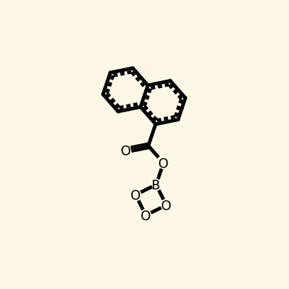 O=C(OB1OOO1)c1cccc2ccccc12